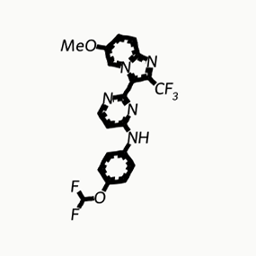 COc1ccc2nc(C(F)(F)F)c(-c3nccc(Nc4ccc(OC(F)F)cc4)n3)n2c1